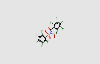 O=C(c1c(F)c(F)c(F)c(F)c1F)N(O)S(=O)(=O)c1c(F)c(F)c(F)c(F)c1F